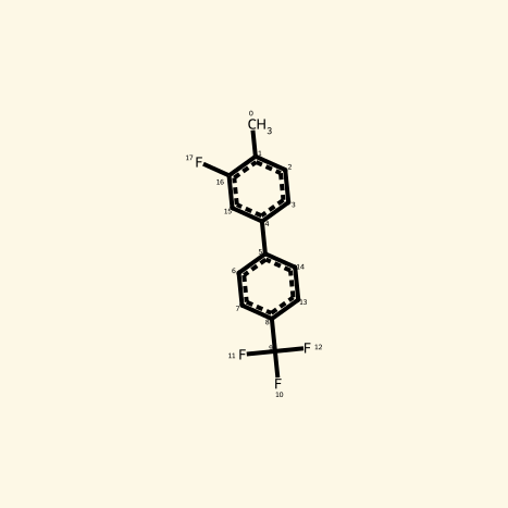 Cc1ccc(-c2ccc(C(F)(F)F)cc2)cc1F